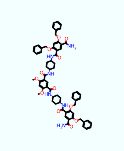 COc1cc(OC)c(C(=O)N[C@H]2CC[C@H](NC(=O)c3cc(C(N)=O)c(OCc4ccccc4)cc3OCc3ccccc3)CC2)cc1C(=O)N[C@H]1CC[C@H](NC(=O)c2cc(C(N)=O)c(OCc3ccccc3)cc2OCc2ccccc2)CC1